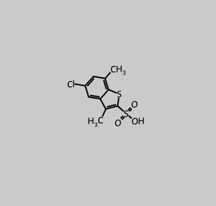 Cc1c(S(=O)(=O)O)sc2c(C)cc(Cl)cc12